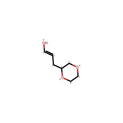 OC=CCC1COCCO1